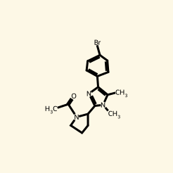 CC(=O)N1CCCC1c1nc(-c2ccc(Br)cc2)c(C)n1C